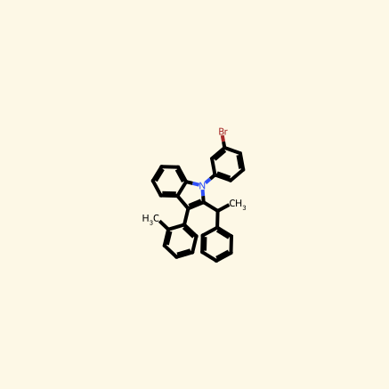 Cc1ccccc1-c1c(C(C)c2ccccc2)n(-c2cccc(Br)c2)c2ccccc12